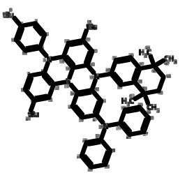 CC(C)(C)c1ccc(N2c3ccc(C(C)(C)C)cc3B3c4ccc(N(c5ccccc5)c5ccccc5)cc4N(c4ccc5c(c4)C(C)(C)CCC5(C)C)c4cc(C(C)(C)C)cc2c43)cc1